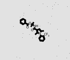 Cc1cc(C(=O)NC(C)(C)OC(=O)c2ccccc2)c(C)n1-c1ccccc1C(F)(F)F